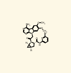 COc1cc2c3c(N)ncnc3n(CC(=O)N3[C@@H]4C[C@@H]4C[C@H]3C(=O)Nc3cccc(Br)n3)c2cc1OC